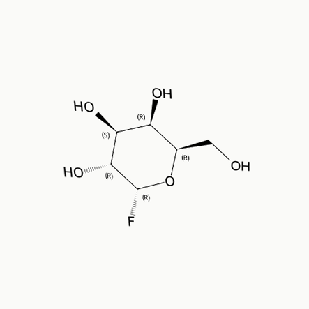 OC[C@H]1O[C@H](F)[C@H](O)[C@@H](O)[C@H]1O